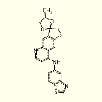 CC1COC2(CSc3cc4c(Nc5ccc6scnc6c5)ccnc4cc32)O1